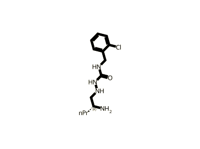 CCC[C@@H](N)CNNC(=O)NCc1ccccc1Cl